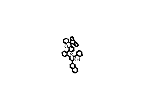 C1=CCC2C(=C1)Oc1c(-c3ccccc3C3=CC(C4C=c5ccccc5=CC4)NC(c4ccccc4)=N3)cccc1C21c2ccccc2-c2ccccc21